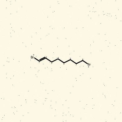 BrC=CCCCCCCBr